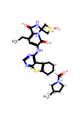 CCc1cc(Nc2ncnc3sc4c(c23)CC[C@H](C(=O)N2CCC(C)C2)C4)c(=O)n2c1C(=O)NC21C[S+]([O-])C1